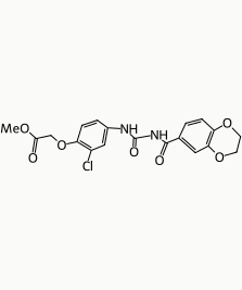 COC(=O)COc1ccc(NC(=O)NC(=O)c2ccc3c(c2)OCCO3)cc1Cl